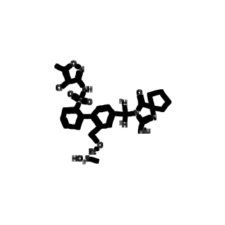 CS(=O)(=O)O.[2H]C([2H])(c1ccc(-c2ccccc2S(=O)(=O)Nc2noc(C)c2Cl)c(COCC)c1)N1C(=O)C2(CCCC2)N=C1CCCC